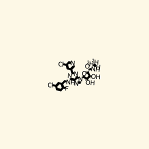 [2H]C([2H])([2H])NC(=O)[C@H]1O[C@@H](n2cnc3c(NCc4cc(Cl)ccc4F)nc(-c4cncc(Cl)c4)nc32)[C@H](O)[C@@H]1O